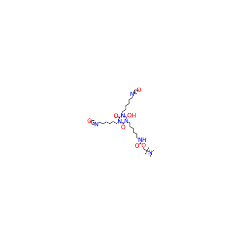 CN(C)C(C)(C)COC(=O)NCCCCCCN1C(=O)N(CCCCCCN=C=O)C(=O)N(CCCCCCN=C=O)C1O